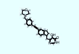 O=c1[nH]cnc(CC2CCc3cc(C#Cc4ccc(CN5CCOCC5)cc4)ccc32)c1O